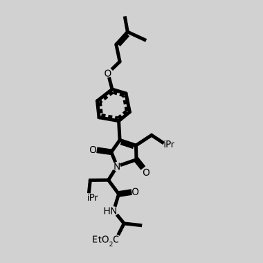 CCOC(=O)C(C)NC(=O)C(CC(C)C)N1C(=O)C(CC(C)C)=C(c2ccc(OCC=C(C)C)cc2)C1=O